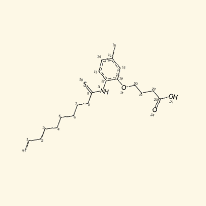 CCCCCCCCCC(=S)Nc1ccc(C)cc1OCCCC(=O)O